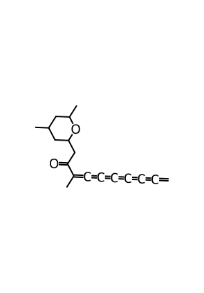 C=C=C=C=C=C=C=C(C)C(=O)CC1CC(C)CC(C)O1